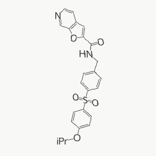 CC(C)Oc1ccc(S(=O)(=O)c2ccc(CNC(=O)c3cc4ccncc4o3)cc2)cc1